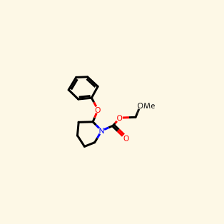 COCOC(=O)N1CCCCC1Oc1ccccc1